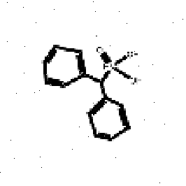 O=[SH](O)(O)C(c1ccccc1)c1ccccc1